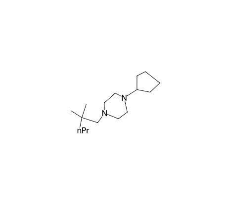 CCCC(C)(C)CN1CCN(C2CCCC2)CC1